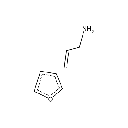 C=CCN.c1ccoc1